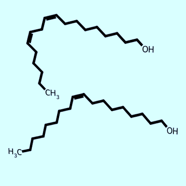 CCCCC/C=C\C/C=C\CCCCCCCCO.CCCCCCCC/C=C\CCCCCCCCO